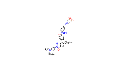 COCCN(C)c1ccc(NC(=O)c2ccc(OC)c(-c3ccc(C(=O)Nc4ccc(CN5CCS(=O)(=O)CC5)cc4)cc3)c2)cc1